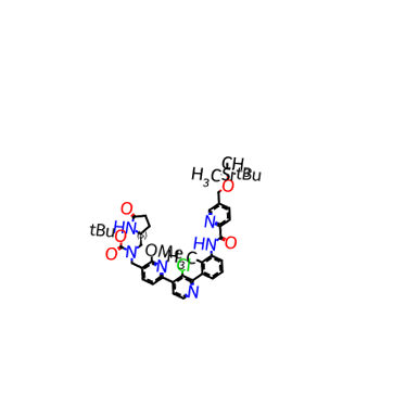 COc1nc(-c2ccnc(-c3cccc(NC(=O)c4ccc(CO[Si](C)(C)C(C)(C)C)cn4)c3C)c2Cl)ccc1CN(C[C@@H]1CCC(=O)N1)C(=O)OC(C)(C)C